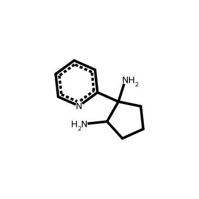 NC1CCCC1(N)c1ccccn1